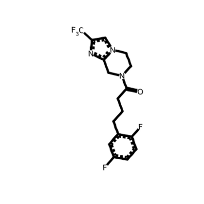 O=C(CCCc1cc(F)ccc1F)N1CCn2cc(C(F)(F)F)nc2C1